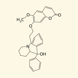 COc1cc2ccc(=O)oc2cc1OCCCN1CCCCC1C(O)(c1ccccc1)c1ccccc1